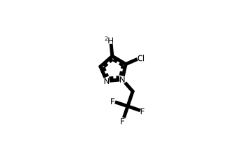 [2H]c1cnn(CC(F)(F)F)c1Cl